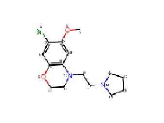 COc1cc2c(cc1Br)OCCN2CCN1CCCC1